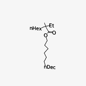 CCCCCCCCCCCCCCCCOC(=O)C(C)(CC)CCCCCC